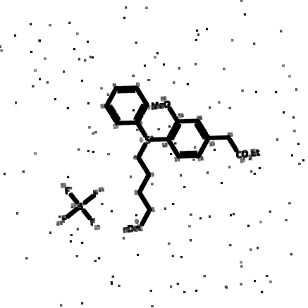 CCCCCCCCCCCCCC[S+](c1ccccc1)c1ccc(CC(=O)OCC)cc1OC.F[B-](F)(F)F